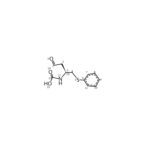 O=CC[C@@H](CSc1ccccc1)NC(=O)O